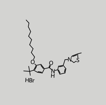 Br.CCCCCCCCCCOc1cc(C(=O)Nc2cccc(CN3C=C(C)SC3)c2)ccc1C(C)(C)C